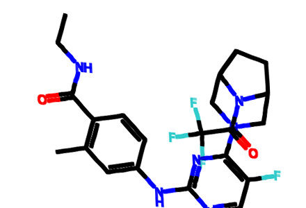 CCNC(=O)c1ccc(Nc2ncc(F)c(N3CC4CCC(C3)N4C(=O)C(F)(F)F)n2)cc1C